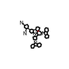 N#Cc1ccc(-c2ccc(-n3c4ccc(-n5c6ccccc6c6ccccc65)cc4c4cc(-n5c6ccccc6c6ccccc65)ccc43)c(-c3ccccc3)c2)c(C#N)c1